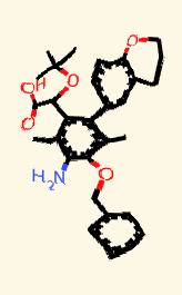 Cc1c(OCc2ccccc2)c(N)c(C)c(C(OC(C)(C)C)C(=O)O)c1-c1ccc2c(c1)CCCO2